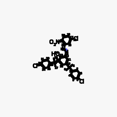 CC(C)(c1ccc(Cl)cc1)c1cc(/N=N/c2cc(Cl)ccc2[N+](=O)[O-])c(O)c(C(C)(C)c2ccc(Cl)cc2)c1